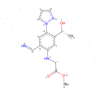 C[C@@H](O)c1cc(NCC(=O)OC(C)(C)C)c(C=N)cc1-n1cccn1